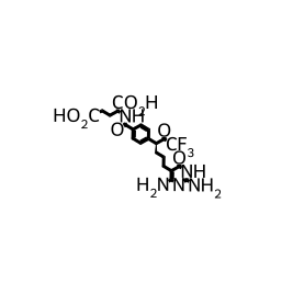 Nc1nc(N)c(CCC[C@H](C(=O)C(F)(F)F)c2ccc(C(=O)NC(CCC(=O)O)C(=O)O)cc2)c(=O)[nH]1